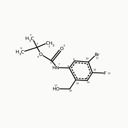 CC(C)(C)OC(=O)Nc1cc(Br)c(F)cc1CO